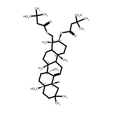 CC1(C)CC[C@]2(C(=O)O)CC[C@]3(C)C(=CCC4[C@@]5(C)CC[C@H](OC(=O)CC(C)(C)C(=O)O)[C@@](C)(COC(=O)CC(C)(C)C(=O)O)C5CC[C@]43C)[C@@H]2C1